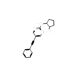 OC1CCCC1Nc1ncc(C#Cc2ccccc2)cn1